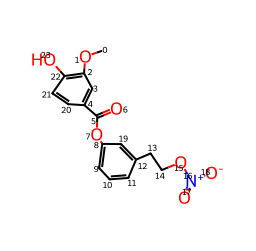 COc1cc(C(=O)Oc2cccc(CCO[N+](=O)[O-])c2)ccc1O